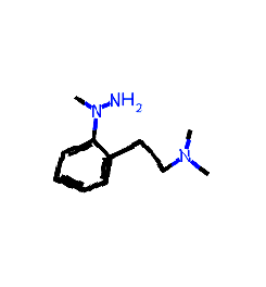 CN(C)CCc1ccccc1N(C)N